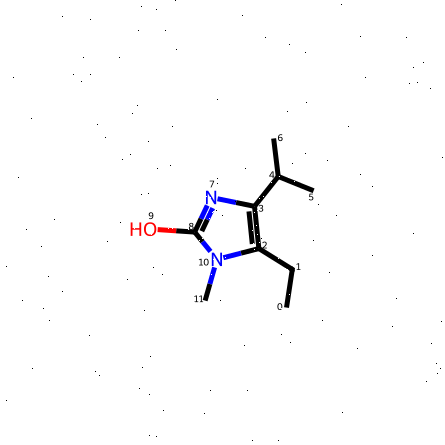 CCc1c(C(C)C)nc(O)n1C